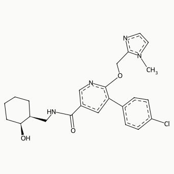 Cn1ccnc1COc1ncc(C(=O)NC[C@@H]2CCCC[C@@H]2O)cc1-c1ccc(Cl)cc1